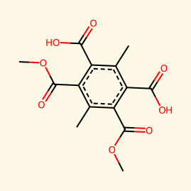 COC(=O)c1c(C)c(C(=O)OC)c(C(=O)O)c(C)c1C(=O)O